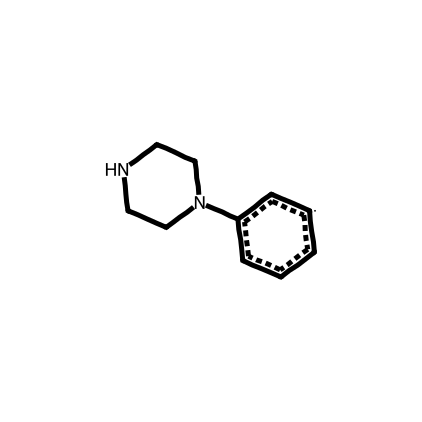 [c]1cccc(N2CCNCC2)c1